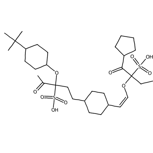 CCC(O/C=C\C1CCC(CCC(OC2CCC(C(C)(C)C)CC2)(C(C)=O)S(=O)(=O)O)CC1)(C(=O)C1CCCC1)S(=O)(=O)O